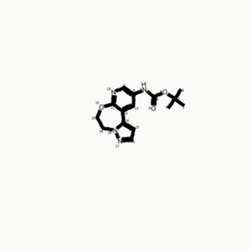 CC(C)(C)OC(=O)Nc1cnc2c(c1)-c1ccnn1CCO2